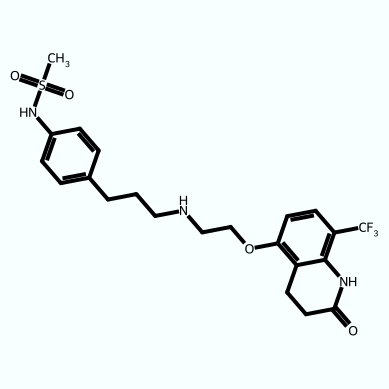 CS(=O)(=O)Nc1ccc(CCCNCCOc2ccc(C(F)(F)F)c3c2CCC(=O)N3)cc1